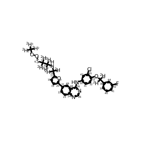 [2H]C([2H])([2H])OOSC([2H])([2H])C([2H])([2H])NC([2H])([2H])c1ccc(-c2ccc3ncnc(Nc4ccc(OC([2H])([2H])c5cccc(F)c5)c(Cl)c4)c3c2)o1